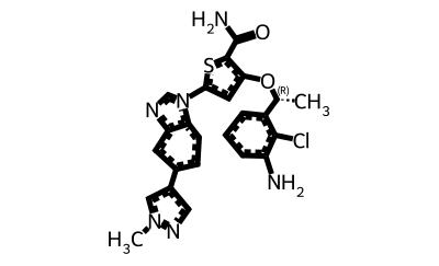 C[C@@H](Oc1cc(-n2cnc3cc(-c4cnn(C)c4)ccc32)sc1C(N)=O)c1cccc(N)c1Cl